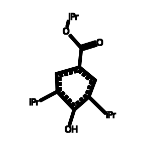 CC(C)OC(=O)c1cc(C(C)C)c(O)c(C(C)C)c1